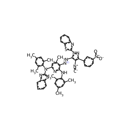 [C-]#[N+]c1c(-c2cccc([N+](=O)[O-])c2)nn(-c2nc3ccccc3s2)c1/N=N/c1c(C)cc(N(c2nc3ccccc3s2)c2c(C)cc(C)cc2C)nc1Nc1c(C)cc(C)cc1C